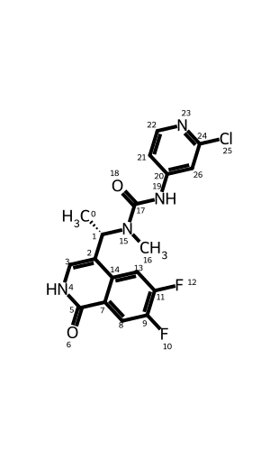 C[C@@H](c1c[nH]c(=O)c2cc(F)c(F)cc12)N(C)C(=O)Nc1ccnc(Cl)c1